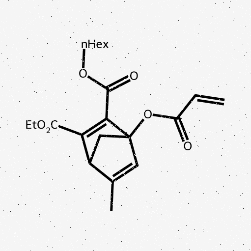 C=CC(=O)OC12C=C(C)C(C1)C(C(=O)OCC)=C2C(=O)OCCCCCC